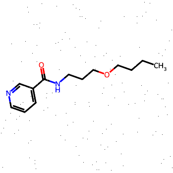 CCCCOCCCNC(=O)c1cccnc1